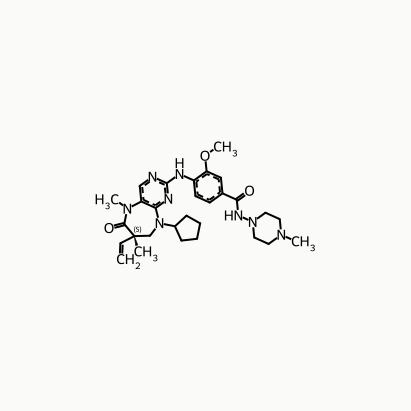 C=C[C@@]1(C)CN(C2CCCC2)c2nc(Nc3ccc(C(=O)NN4CCN(C)CC4)cc3OC)ncc2N(C)C1=O